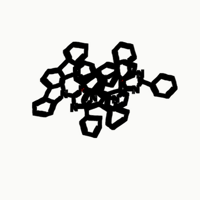 c1ccc(-c2nc(-c3ccccc3)nc(-n3c4ccccc4c4ccc5c6ccccc6n(-c6ccc(-c7ccccc7-c7ccccc7-n7c8ccccc8c8ccc9c%10ccccc%10n(-c%10nc(-c%11ccccc%11)nc(-c%11ccccc%11)n%10)c9c87)cc6)c5c43)n2)cc1